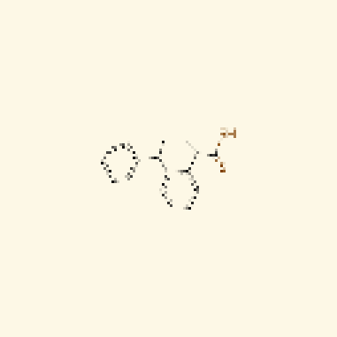 CC(C(=S)S)c1ccccc1C(C)c1ccccc1